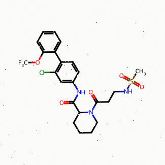 CS(=O)(=O)NCCC(=O)N1CCCCC1C(=O)Nc1ccc(-c2ccccc2OC(F)(F)F)c(Cl)c1